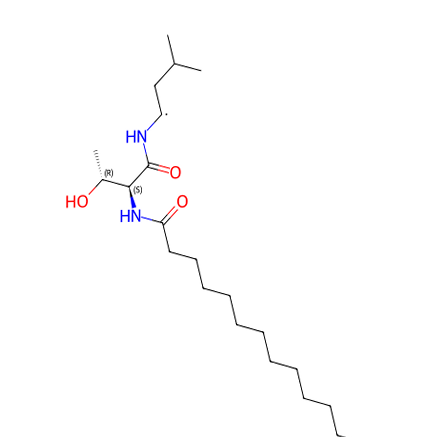 CCCCCCCCCCCCC(=O)N[C@H](C(=O)N[CH]CC(C)C)[C@@H](C)O